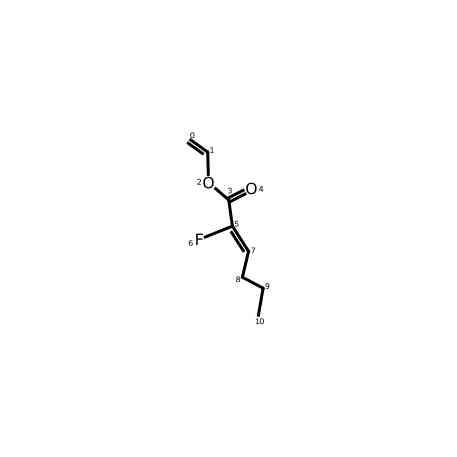 C=COC(=O)C(F)=CCCC